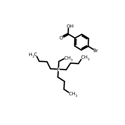 CCCC[P](CC)(CCCC)CCCC.O=C(O)c1ccc(Br)cc1